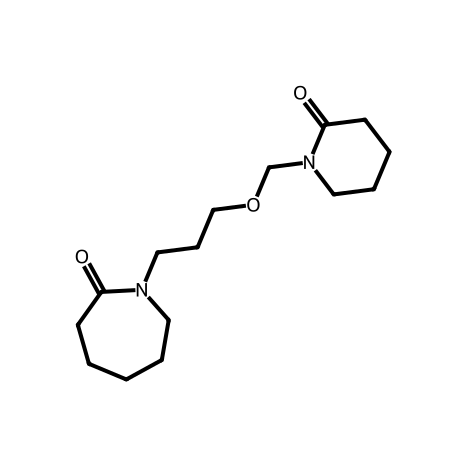 O=C1CCCCCN1CCCOCN1CCCCC1=O